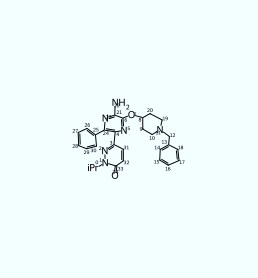 CC(C)n1nc(-c2nc(OC3CCN(Cc4ccccc4)CC3)c(N)nc2-c2ccccc2)ccc1=O